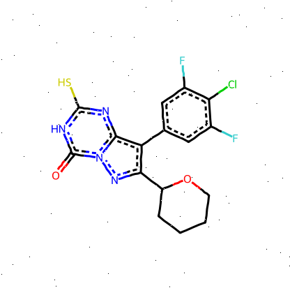 O=c1[nH]c(S)nc2c(-c3cc(F)c(Cl)c(F)c3)c(C3CCCCO3)nn12